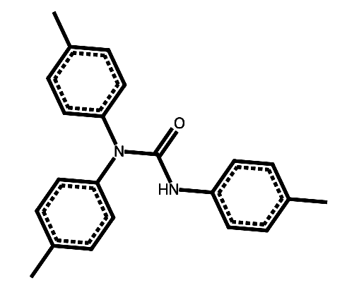 Cc1ccc(NC(=O)N(c2ccc(C)cc2)c2ccc(C)cc2)cc1